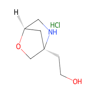 Cl.OCC[C@@]12CO[C@@H](CN1)C2